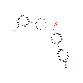 [CH]c1cccc(C2CCN(C(=O)c3ccc(-c4cc[n+]([O-])cc4)cc3)CC2)c1